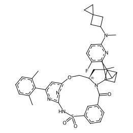 Cc1cccc(C)c1-c1cc2nc(n1)NS(=O)(=O)c1cccc(c1)C(=O)N(C13CC(C1)C3c1nc(N(C)C3CC4(CC4)C3)ccc1F)[C@H](CC(C)(C)C)CO2